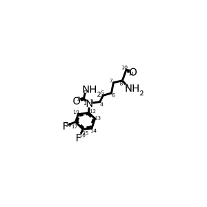 NC(=O)N(CCCCC(N)C=O)c1ccc(F)c(F)c1